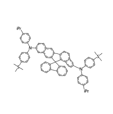 CC(C)c1ccc(N(c2ccc(S(C)(C)C)cc2)c2ccc3cc4c(cc3c2)C2(c3ccccc3-c3ccccc32)c2c-4ccc3cc(N(c4ccc(C(C)C)cc4)c4ccc(S(C)(C)C)cc4)ccc23)cc1